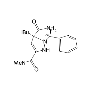 CCC(C)C1(C(N)=O)C=C(C(=O)NC)NN1[C@@H](C)c1ccccc1